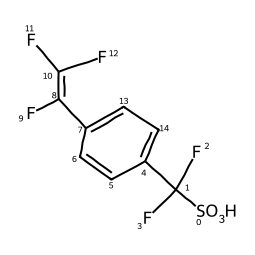 O=S(=O)(O)C(F)(F)c1ccc(C(F)=C(F)F)cc1